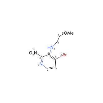 COCCNc1c(Br)ccnc1[N+](=O)[O-]